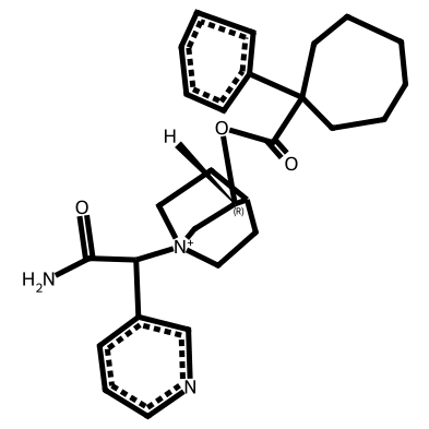 NC(=O)C(c1cccnc1)[N+]12CCC(CC1)[C@@H](OC(=O)C1(c3ccccc3)CCCCCC1)C2